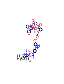 CC(C)(C)c1cc(NC(=O)Nc2ccc(-n3cnc4cc(OCCOCCNc5cccc6c5C(=O)N(C5CCC(=O)N(OC(=O)N7CCCCC7(C)N7CCOCC7)C5=O)C6=O)ccc43)cc2)[nH]n1